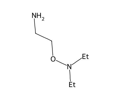 CCN(CC)OCCN